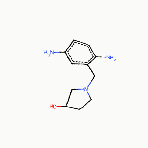 Nc1ccc(N)c(CN2CCC(O)C2)c1